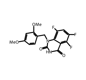 COc1ccc(Cn2c(=O)[nH]c(=O)c3c(F)c(F)cc(F)c32)c(OC)c1